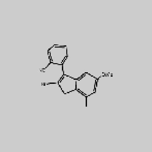 COc1cc(C)c2c(c1)C(c1ccccc1C#N)=C(Br)C2